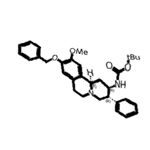 COc1cc2c(cc1OCc1ccccc1)CCN1C[C@@H](c3ccccc3)[C@H](NC(=O)OC(C)(C)C)C[C@H]21